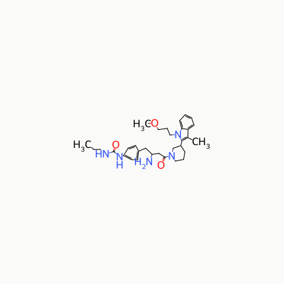 CCCNC(=O)Nc1ccc(CC(N)CC(=O)N2CCCC(c3c(C)c4ccccc4n3CCCOC)C2)cc1